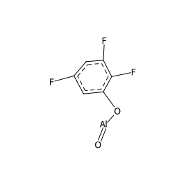 [O]=[Al][O]c1cc(F)cc(F)c1F